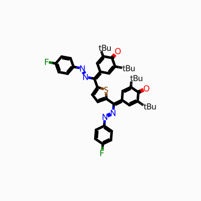 CC(C)(C)C1=CC(=C(/N=N/c2ccc(F)cc2)c2ccc(C(/N=N/c3ccc(F)cc3)=C3C=C(C(C)(C)C)C(=O)C(C(C)(C)C)=C3)s2)C=C(C(C)(C)C)C1=O